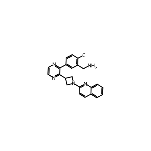 NCc1cc(-c2nccnc2C2CN(c3ccc4ccccc4n3)C2)ccc1Cl